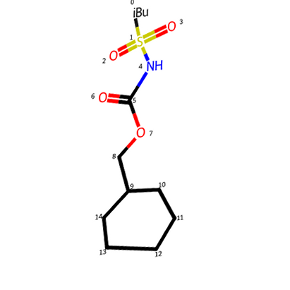 CCC(C)S(=O)(=O)NC(=O)OCC1CCCCC1